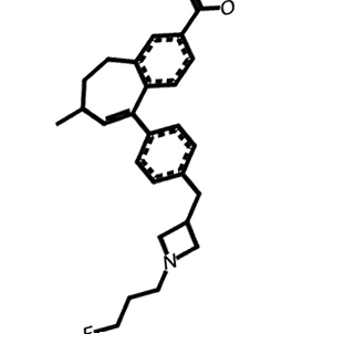 COC(=O)c1ccc2c(c1)CCC(C)C=C2c1ccc(CC2CN(CCCF)C2)cc1